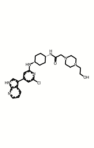 O=C(CN1CCN(CCO)CC1)N[C@H]1CC[C@H](Nc2cc(-c3c[nH]c4ncccc34)cc(Cl)n2)CC1